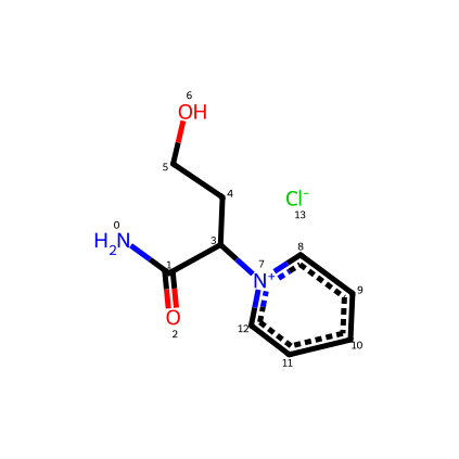 NC(=O)C(CCO)[n+]1ccccc1.[Cl-]